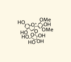 COc1cc(-c2[o+]c3cc(O)cc(O)c3cc2OC2OC(CO)C(O)C(O)C2O)cc(OC)c1O